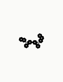 c1ccc2cc(-n3c4ccccc4c4cc(-c5ccc6c(c5)c5ccccc5n6-c5ccc6ccc7ccccc7c6c5)ccc43)ccc2c1